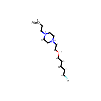 COCCN1CCN(CCOCCCCCF)CC1